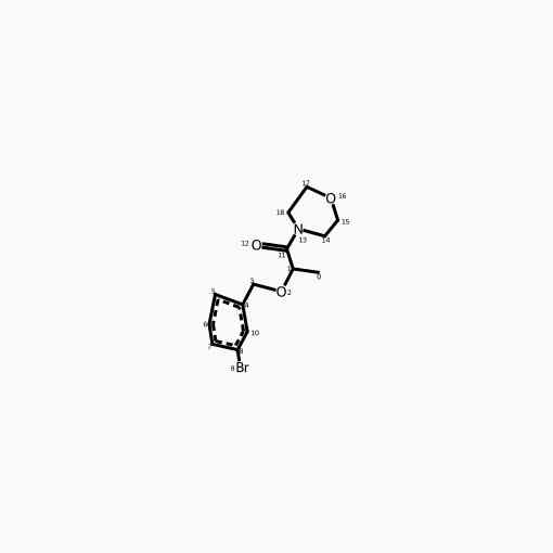 CC(OCc1cccc(Br)c1)C(=O)N1CCOCC1